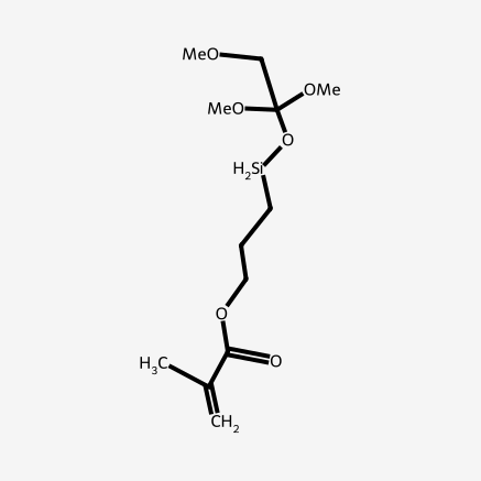 C=C(C)C(=O)OCCC[SiH2]OC(COC)(OC)OC